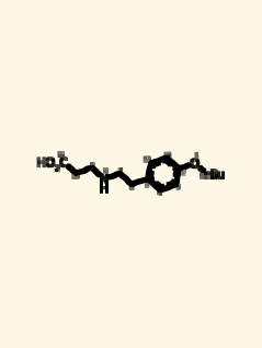 CCCCOc1ccc(CCNCCC(=O)O)cc1